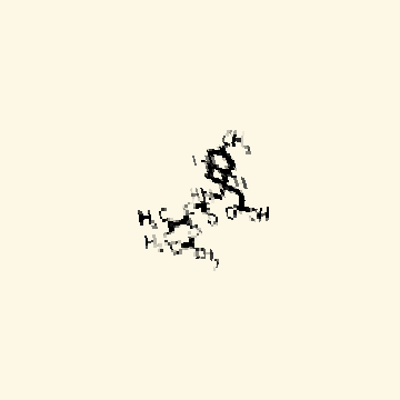 CC(=O)O[C@@H](OC(=O)NC[C@@]1(CC(=O)O)C[C@H]2CC(C)=C[C@@H]21)C(C)C